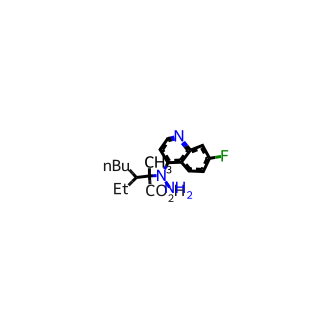 CCCCC(CC)C(C)(C(=O)O)N(N)c1ccnc2cc(F)ccc12